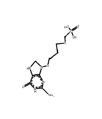 Nc1nc2c(c(=O)[nH]1)NCN2OCCCOCP(=O)(O)O